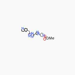 COC(=O)ON1CCC(n2cc(-c3cnc4ncc(Cc5ccc6ncccc6c5)n4n3)cn2)CC1